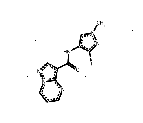 Cn1cc(NC(=O)c2cnn3cccnc23)c(I)n1